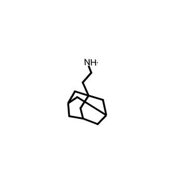 [NH]CCC12CC3CC(CC(C3)C1)C2